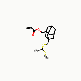 C=CC(=O)OCC12CC3CC(C1)CC(CSC(CCC)SCCCC)(C3)C2